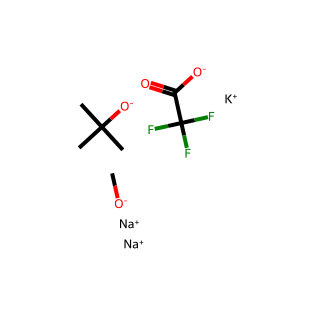 CC(C)(C)[O-].C[O-].O=C([O-])C(F)(F)F.[K+].[Na+].[Na+]